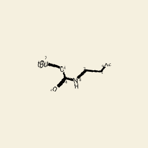 CC(=O)CCNC(=O)OC(C)(C)C